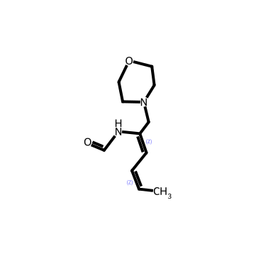 C/C=C\C=C(\CN1CCOCC1)NC=O